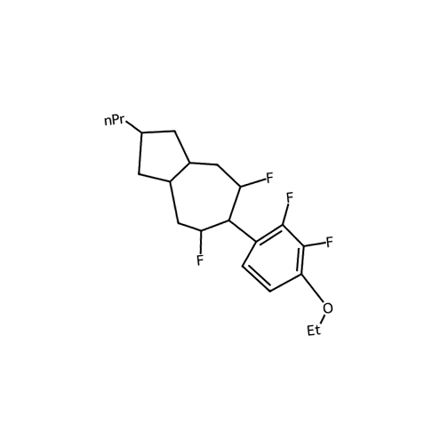 CCCC1CC2CC(F)C(c3ccc(OCC)c(F)c3F)C(F)CC2C1